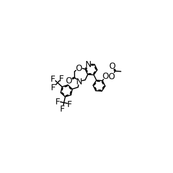 CC(=O)OOc1ccccc1-c1ccnc2c1CN(Cc1cc(C(F)(F)F)cc(C(F)(F)F)c1)C(=O)CO2